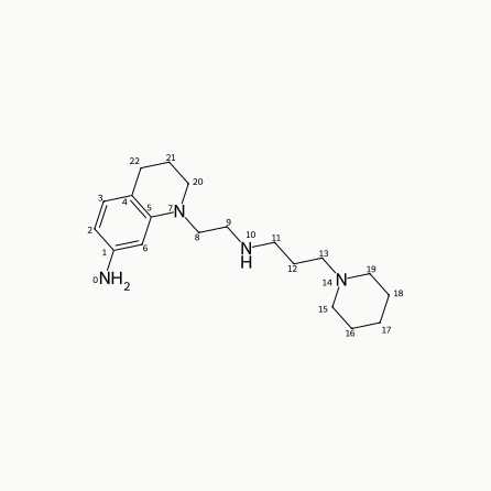 Nc1ccc2c(c1)N(CCNCCCN1CCCCC1)CCC2